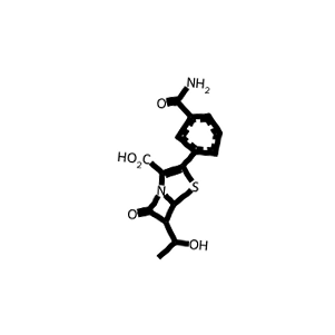 CC(O)C1C(=O)N2C(C(=O)O)=C(c3cccc(C(N)=O)c3)SC12